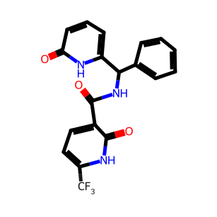 O=C(NC(c1ccccc1)c1cccc(=O)[nH]1)c1ccc(C(F)(F)F)[nH]c1=O